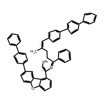 CCC/C=C(\N=C(/CC/C(C)=C\c1ccc(-c2ccc(-c3ccccc3)cc2)cc1)c1ccccc1)c1cccc2oc3ccc(-c4ccc(-c5ccccc5)cc4)cc3c12